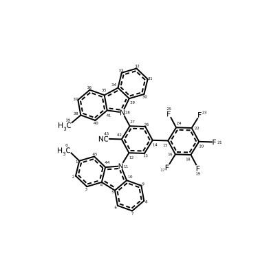 Cc1ccc2c3ccccc3n(-c3cc(-c4c(F)c(F)c(F)c(F)c4F)cc(-n4c5ccccc5c5ccc(C)cc54)c3C#N)c2c1